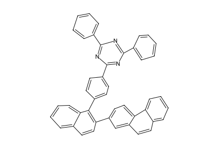 c1ccc(-c2nc(-c3ccccc3)nc(-c3ccc(-c4c(-c5ccc6c(ccc7ccccc76)c5)ccc5ccccc45)cc3)n2)cc1